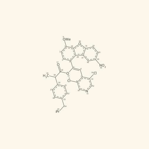 COc1ccc(C(=Cc2c(Cl)cncc2Cl)OC(=O)C(C)c2ccc(CC(C)C)cc2)c2c1oc1ccc([N+](=O)[O-])cc12